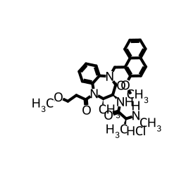 CN[C@@H](C)C(=O)N[C@@H]1C(=O)N(Cc2c(OC)ccc3ccccc23)c2ccccc2N(C(=O)CCOC)[C@H]1C.Cl